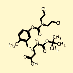 Cc1ccc(OC(=O)N(CCCl)CCCl)cc1C[C@@H](CC(=O)O)NC(=O)OC(C)(C)C